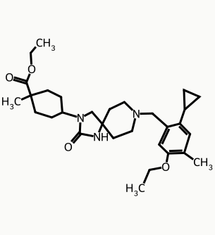 CCOC(=O)C1(C)CCC(N2CC3(CCN(Cc4cc(OCC)c(C)cc4C4CC4)CC3)NC2=O)CC1